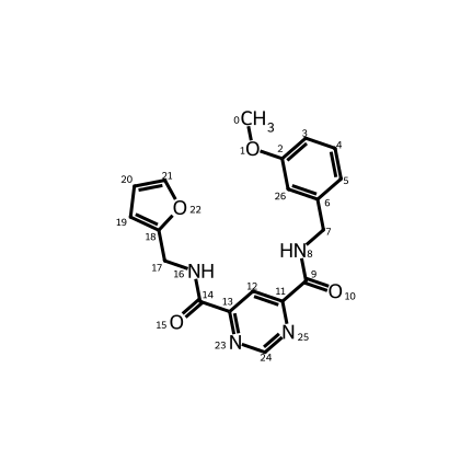 COc1cccc(CNC(=O)c2cc(C(=O)NCc3ccco3)ncn2)c1